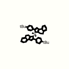 CC(C)(C)c1ccc(C2=CC3=C(CCc4ccccc43)C2[Si](C)(C)C2C(c3ccc(C(C)(C)C)cc3)=CC3=C2CCc2ccccc23)cc1